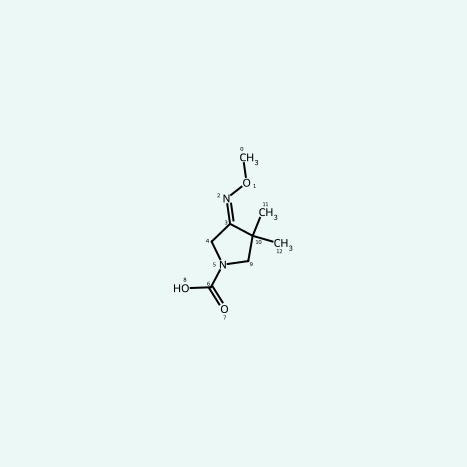 CO/N=C1/CN(C(=O)O)CC1(C)C